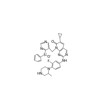 CC1CNCCN1c1ccc(Nc2ncc3cc(C4CC4)c(=O)n(Cc4cncnc4[S+]([O-])c4ccccc4)c3n2)cc1F